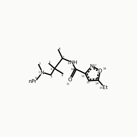 CCCN(C)CC(C)(C)C(C)NC(=O)c1cc(CC)on1